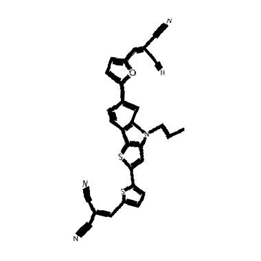 CCCn1c2cc(-c3ccc(C=C(C#N)C#N)o3)ccc2c2sc(-c3ccc(C=C(C#N)C#N)s3)cc21